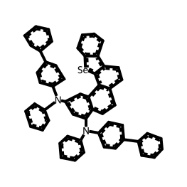 c1ccc(-c2ccc(N(c3ccccc3)c3cc(N(c4ccccc4)c4ccc(-c5ccccc5)cc4)c4ccc5ccc6c7ccccc7[se]c6c5c4c3)cc2)cc1